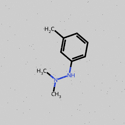 [CH2]c1cccc(NN(C)C)c1